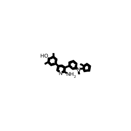 Cc1ccccc1N(C)c1cccc(-c2cc(-c3cc(C)c(O)c(C)c3)cnc2N)c1